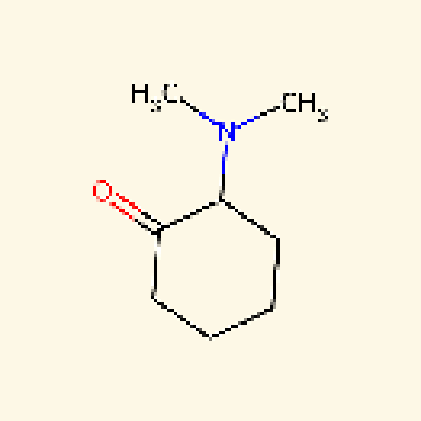 CN(C)C1CCCCC1=O